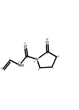 C=CNC(=O)N1CCCC1=O